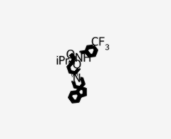 CC(C)[C@]1(C(=O)NCc2cccc(C(F)(F)F)c2)CC[C@@H](N2CCC3(C=Cc4ccccc43)CC2)CO1